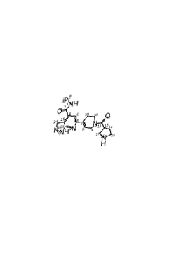 CC(C)NC(=O)c1cc(C2=CCN(C(=O)C3CCNC3)CC2)nc2[nH]ncc12